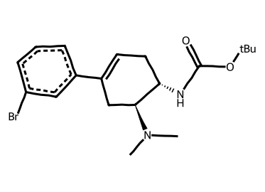 CN(C)[C@H]1CC(c2cccc(Br)c2)=CC[C@@H]1NC(=O)OC(C)(C)C